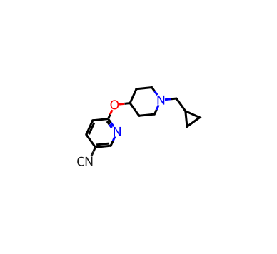 [C-]#[N+]c1ccc(OC2CCN(CC3CC3)CC2)nc1